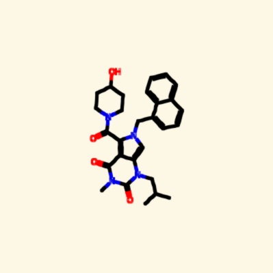 CC(C)Cn1c(=O)n(C)c(=O)c2c(C(=O)N3CCC(O)CC3)n(Cc3cccc4ccccc34)cc21